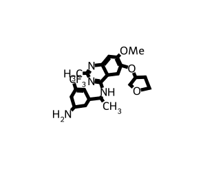 COC1=C(OC2CCOC2)CC2C(=C1)N=C(C)N=C2NC(C)C1C=C(C(F)(F)F)CC(N)C1